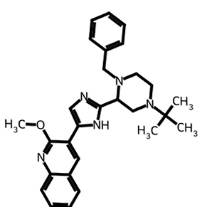 COc1nc2ccccc2cc1-c1cnc(C2CN(C(C)(C)C)CCN2Cc2ccccc2)[nH]1